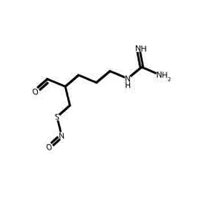 N=C(N)NCCCC(C=O)CSN=O